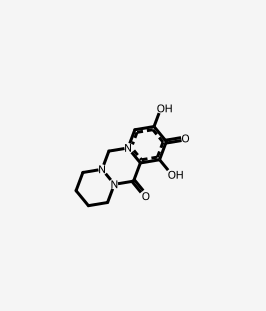 O=C1c2c(O)c(=O)c(O)cn2CN2CCCCN12